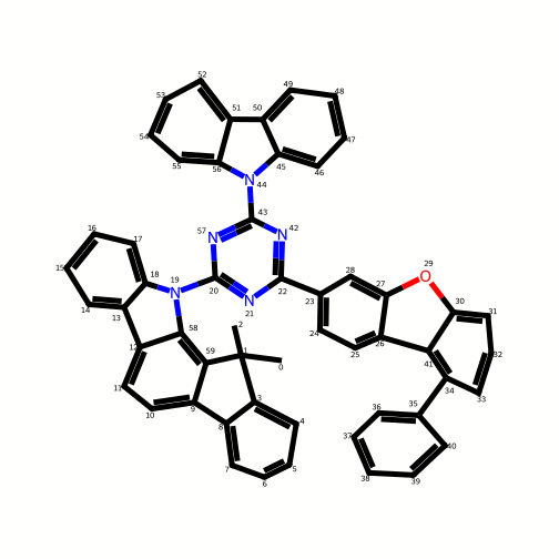 CC1(C)c2ccccc2-c2ccc3c4ccccc4n(-c4nc(-c5ccc6c(c5)oc5cccc(-c7ccccc7)c56)nc(-n5c6ccccc6c6ccccc65)n4)c3c21